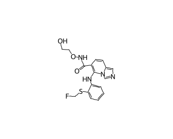 O=C(NOCCO)c1ccc2cncn2c1Nc1ccccc1SCF